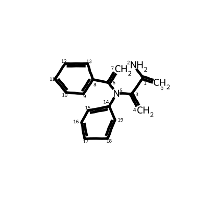 C=C(N)C(=C)N(C(=C)c1ccccc1)c1ccccc1